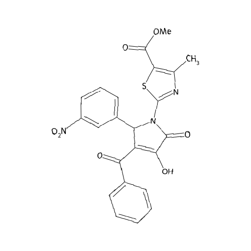 COC(=O)c1sc(N2C(=O)C(O)=C(C(=O)c3ccccc3)C2c2cccc([N+](=O)[O-])c2)nc1C